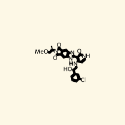 COC[C@@H](C)N1C(=O)c2cc3nc(-c4c(NC[C@@H](O)c5cccc(Cl)c5)cc[nH]c4=O)[nH]c3cc2C1=O